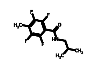 Cc1c(F)c(F)c(C(=O)NCC(C)C)c(F)c1F